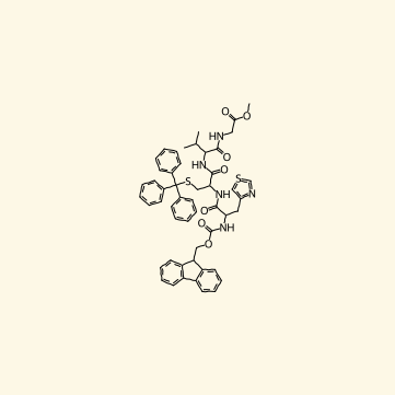 COC(=O)CNC(=O)C(NC(=O)C(CSC(c1ccccc1)(c1ccccc1)c1ccccc1)NC(=O)C(Cc1cscn1)NC(=O)OCC1c2ccccc2-c2ccccc21)C(C)C